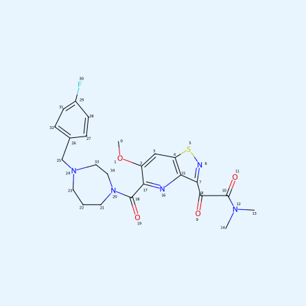 COc1cc2snc(C(=O)C(=O)N(C)C)c2nc1C(=O)N1CCCN(Cc2ccc(F)cc2)CC1